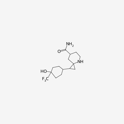 NC(=O)C1CCNC2(C1)CC2C1CCC(O)(C(F)(F)F)CC1